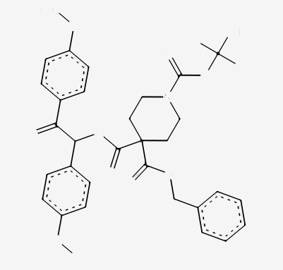 COc1ccc(C(=O)C(OC(=O)C2(C(=O)OCc3ccccc3)CCN(C(=O)OC(C)(C)C)CC2)c2ccc(OC)cc2)cc1